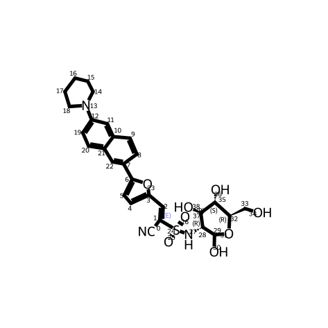 N#C/C(=C\c1ccc(-c2ccc3cc(N4CCCCC4)ccc3c2)o1)S(=O)(=O)N[C@H]1C(O)O[C@H](CO)[C@@H](O)[C@@H]1O